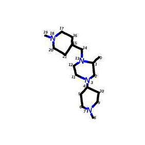 CC1CN(C2CCN(C)CC2)CCN1CC1CCN(C)CC1